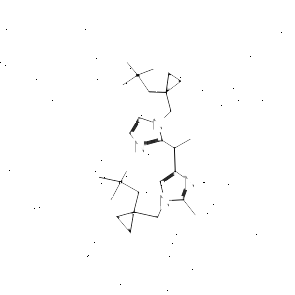 Cc1nc(C(C)c2nccn2CC2(CC(C)(C)C)CC2)cn1CC1(CC(C)(C)C)CC1